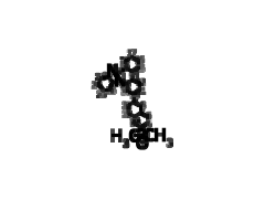 CP(C)(=O)c1ccc2cc(-c3ccc4c5ccccc5c5nc6ccccc6n5c4c3)ccc2c1